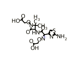 CC1(C)C(NC(=O)/C(=N\OCC(=O)O)c2csc(N)n2)C(=O)N1OCC(=O)O